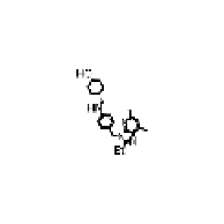 CCc1nc2c(C)cc(C)nc2n1Cc1ccc(NC[C@H]2CC[C@H](O)CC2)cc1